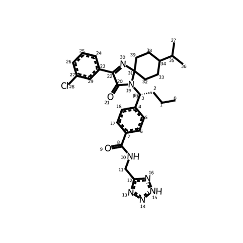 CCC[C@H](c1ccc(C(=O)NCc2nn[nH]n2)cc1)N1C(=O)C(c2cccc(Cl)c2)=NC12CCC(C(C)C)CC2